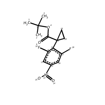 CC(C)(C)OC(=O)C1(c2c(F)cc([N+](=O)[O-])cc2F)CC1